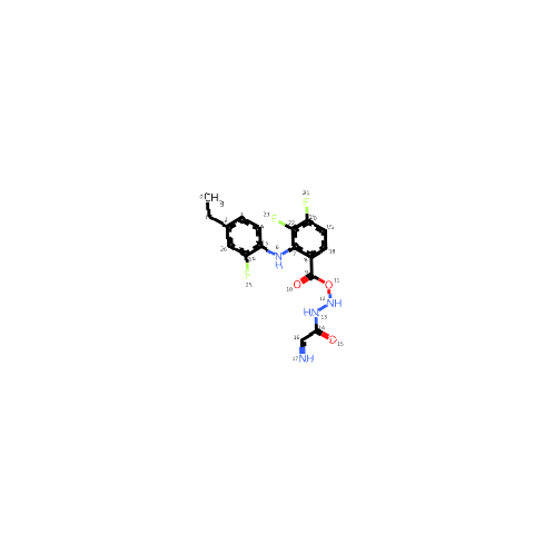 CCc1ccc(Nc2c(C(=O)ONNC(=O)C=N)ccc(F)c2F)c(F)c1